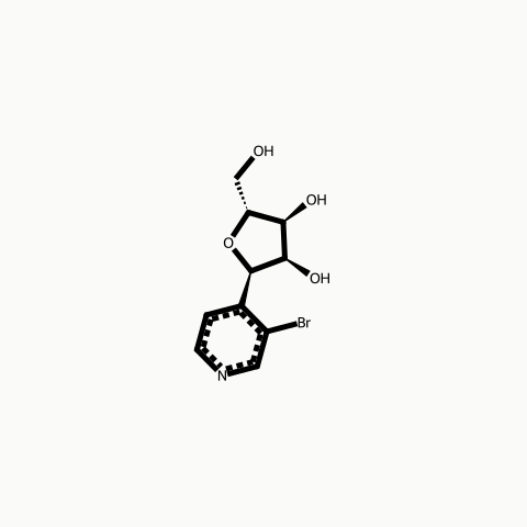 OC[C@H]1O[C@H](c2ccncc2Br)[C@H](O)[C@@H]1O